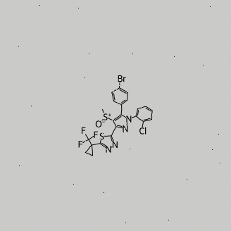 C[S+]([O-])c1c(-c2nnc(C3(C(F)(F)F)CC3)s2)nn(-c2ccccc2Cl)c1-c1ccc(Br)cc1